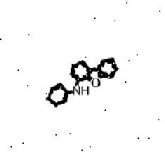 C1=CC(Nc2cccc3c2oc2ccccc23)=CCC1